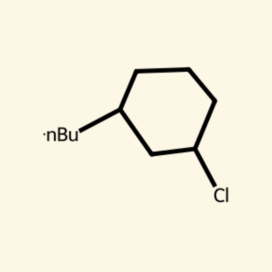 CCC[CH]C1CCCC(Cl)C1